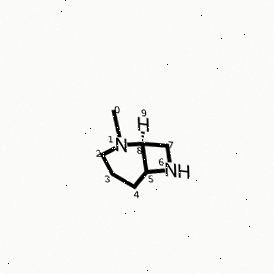 CN1CCCC2NC[C@@H]21